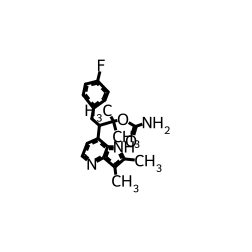 Cc1[nH]c2c(C(Cc3ccc(F)cc3)C(C)(C)OC(N)=O)ccnc2c1C